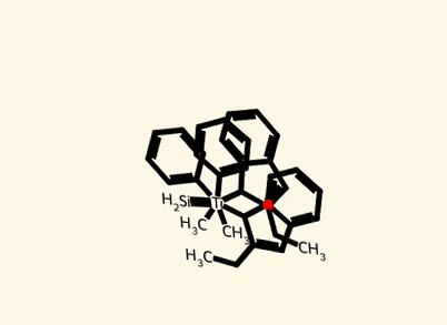 CCC1=Cc2ccccc2[CH]1[Ti]([CH3])([CH3])(=[SiH2])([c]1ccccc1)([c]1ccccc1)[CH]1C(CC)=Cc2ccccc21